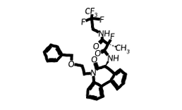 C[C@@](F)(C(=O)NCC(F)(F)C(F)(F)F)C(=O)N[C@@H]1C(=O)N(CCOCc2ccccc2)c2ccccc2-c2ccccc21